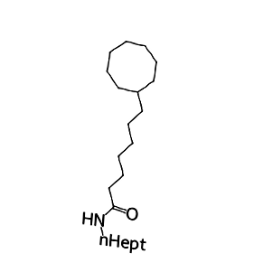 CCCCCCCNC(=O)CCCCCCC1CCCCCCC1